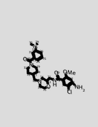 COc1cc(N)c(Cl)cc1C(=O)NCC1CN(CC2CCN(C(=O)c3cccc(N(C)C)c3)CC2)CCO1